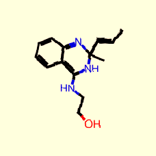 C/C=C/C1(C)N=c2ccccc2=C(NCCO)N1